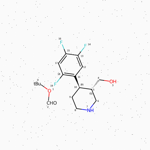 CC(C)(C)OC=O.OC[C@@H]1CNCC[C@H]1c1cc(F)c(F)cc1F